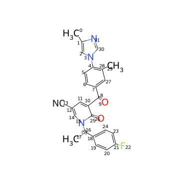 Cc1cn(-c2ccc(C(=O)c3cc(C#N)cn([C@@H](C)c4ccc(F)cc4)c3=O)cc2C)cn1